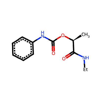 CCNC(=O)[C@H](C)OC(=O)Nc1ccccc1